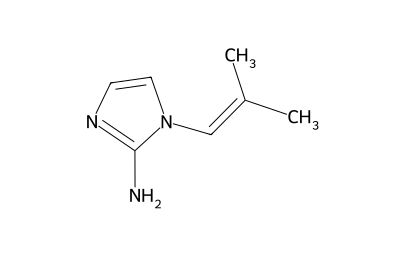 CC(C)=Cn1ccnc1N